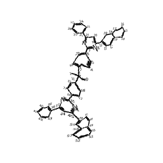 CC(C)(c1ccc(-c2nc(C3=CC=C4C=CC=CC4C3)cc(-c3ccccc3)n2)cc1)c1ccc(-c2nc(-c3ccccc3)cc(-c3ccc4ccccc4c3)n2)cc1